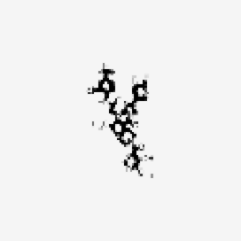 Cc1ncnc(C(=O)N2CCC3(CC2)CC(C)c2c3c(=O)n3nc(-c4cnc(F)c(F)c4)nc3n2CC(=O)Nc2ccc(C(F)(F)F)cc2Cl)c1O